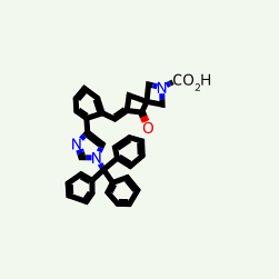 O=C(O)N1CC2(C/C(=C\c3ccccc3-c3cn(C(c4ccccc4)(c4ccccc4)c4ccccc4)cn3)C2=O)C1